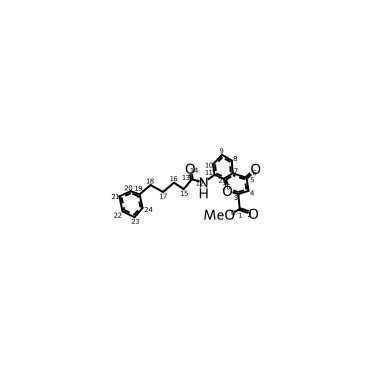 COC(=O)c1cc(=O)c2cccc(NC(=O)CCCCc3ccccc3)c2o1